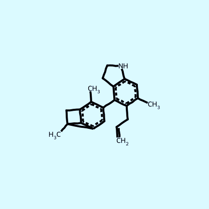 C=CCc1c(C)cc2c(c1-c1cc3c4c(c1C)CC34C)CCN2